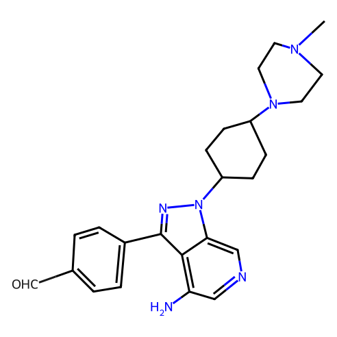 CN1CCN(C2CCC(n3nc(-c4ccc(C=O)cc4)c4c(N)cncc43)CC2)CC1